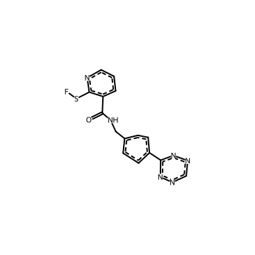 O=C(NCc1ccc(-c2nncnn2)cc1)c1cccnc1SF